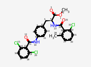 COC(=O)[C@H](Cc1ccc(NC(=O)c2c(Cl)cccc2Cl)cc1)NC(=O)c1c(C)cccc1Cl